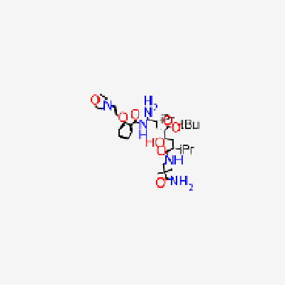 CC(C)[C@H](C[C@H](C(=O)OC(C)(C)C)[C@@H](O)C[C@H](C(=O)NCC(C)(C)C(N)=O)C(C)C)C(N)NC(=O)c1ccccc1OCCN1CCOCC1